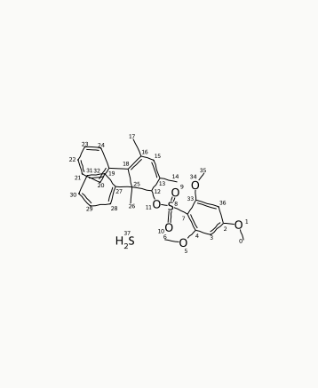 COc1cc(OC)c(S(=O)(=O)OC2C(C)=CC(C)=C(c3ccccc3)C2(C)c2ccccc2)c(OC)c1.S